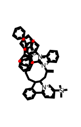 C=C1CC2C(CCc3ccc4c(oc5ccccc54)c3-c3n(-c4ccc(-c5ccccc5)cc4-c4ccccc4)c4ccccc4[n+]31)c1ccccc1-c1ccc([Si](C)(C)C)c[n+]12